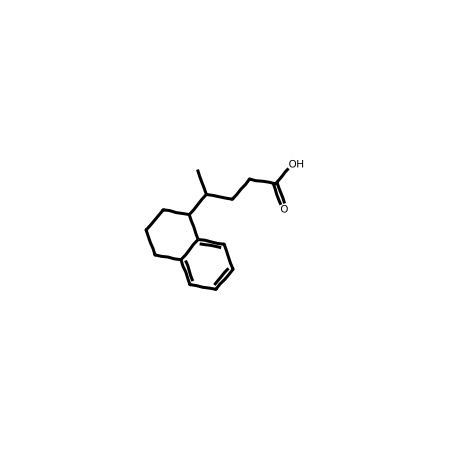 CC(CCC(=O)O)C1CCCc2ccccc21